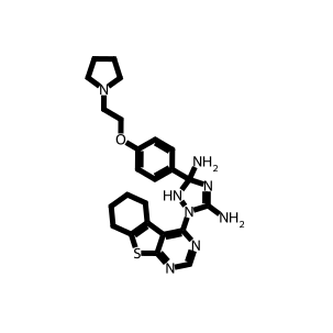 NC1=NC(N)(c2ccc(OCCN3CCCC3)cc2)NN1c1ncnc2sc3c(c12)CCCC3